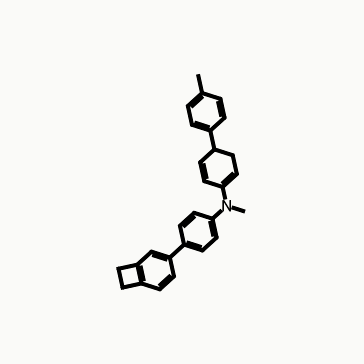 Cc1ccc(C2C=CC(N(C)c3ccc(-c4ccc5c(c4)CC5)cc3)=CC2)cc1